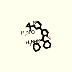 NC(=O)C1(c2cc(-c3ccc4nc5c(c(NC6CCCCC6N)c4c3)CCCC5)ccn2)CC1